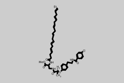 CCC=CCC=CCC=CCC=CCC=CCC=CCCC(=O)NC(CNC(=O)C(C)(C)Oc1ccc(CCNC(=O)c2ccc(Cl)cc2)cc1)C(=O)OC